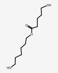 O=C(CCCCO)OCCCCCCO